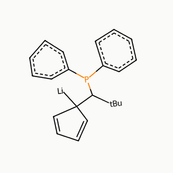 [Li][C]1(C(P(c2ccccc2)c2ccccc2)C(C)(C)C)C=CC=C1